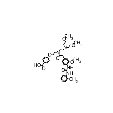 COCCN(CCOC)CCN(CCOc1ccc(C(=O)O)cc1)C(=O)Cc1ccc(NC(=O)Nc2ccccc2C)c(OC)c1